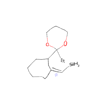 CCC1(C2CCCC/C2=C/[SiH3])OCCCO1